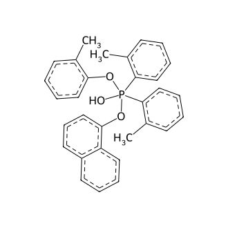 Cc1ccccc1OP(O)(Oc1cccc2ccccc12)(c1ccccc1C)c1ccccc1C